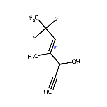 C#CC(O)/C(C)=C/C(F)(F)C(F)(F)F